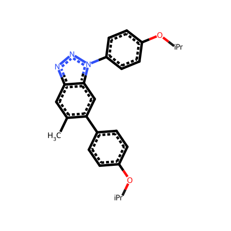 Cc1cc2nnn(-c3ccc(OC(C)C)cc3)c2cc1-c1ccc(OC(C)C)cc1